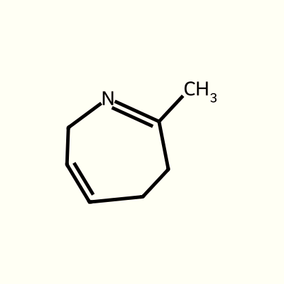 CC1=NCC=CCC1